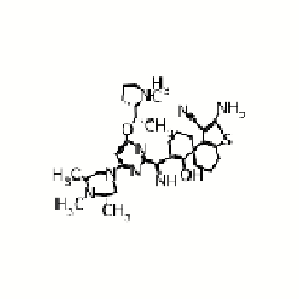 C[C@H](Oc1cc(N2C[C@H](C)N(C)[C@@H](C)C2)nc(C(=N)C2=C(O)[C@@]3(CCC2)CCCc2sc(N)c(C#N)c23)n1)[C@@H]1CCCN1C